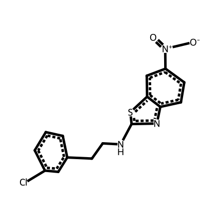 O=[N+]([O-])c1ccc2nc(NCCc3cccc(Cl)c3)sc2c1